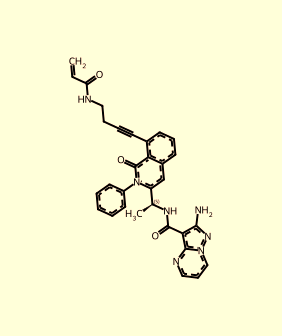 C=CC(=O)NCCC#Cc1cccc2cc([C@H](C)NC(=O)c3c(N)nn4cccnc34)n(-c3ccccc3)c(=O)c12